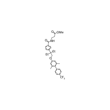 CCC(CC)(COc1cc(C)c(-c2ccc(C(F)(F)F)cc2)c(C)c1)c1ccc(C(=O)NCCC(=O)OC)s1